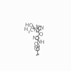 C[C@H](CO)n1cc(C(=O)c2cncc(NC(=O)Cn3cc(C4CC4)cn3)c2)c2cncnc21